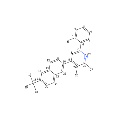 Cc1ccccc1-c1cc(-c2ccc3cc(C(C)(C)C)ccc3c2)c(C)c(C)n1